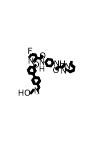 Cc1cccc2nc(C(=O)N[C@H]3CC[C@@H](NC(=O)c4cc(F)cnc4Oc4cccc(-c5ccc(CN(C)CCO)cc5)c4)CC3)cn12